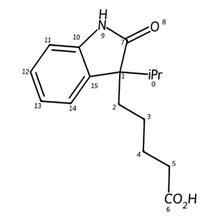 CC(C)C1(CCCCC(=O)O)C(=O)Nc2ccccc21